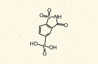 O=C1NS(=O)(=O)c2ccc(P(=O)(O)O)cc21